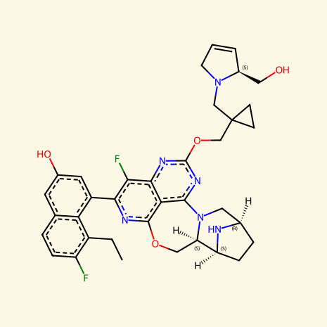 CCc1c(F)ccc2cc(O)cc(-c3nc4c5c(nc(OCC6(CN7CC=C[C@H]7CO)CC6)nc5c3F)N3C[C@H]5CC[C@H](N5)[C@H]3CO4)c12